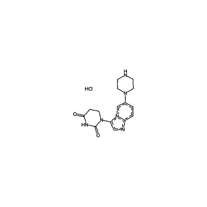 Cl.O=C1CCN(c2cnc3ccc(N4CCNCC4)cn23)C(=O)N1